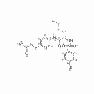 CCCC[C@H](NS(=O)(=O)c1ccc(Br)cc1)C(=O)Nc1ccc(CCC(=O)O)cc1